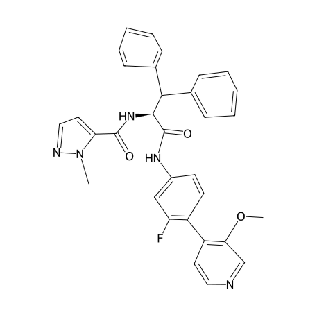 COc1cnccc1-c1ccc(NC(=O)[C@@H](NC(=O)c2ccnn2C)C(c2ccccc2)c2ccccc2)cc1F